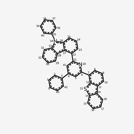 c1ccc(-c2cc(-c3cccc4c3sc3ccccc34)nc(-c3cccc4c3c3ccccc3n4-c3ccccc3)c2)cc1